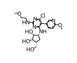 COCCNc1nc(Cl)c(-c2ccc(OC)nc2)c(N[C@@H]2C[C@H](CO)[C@@H](O)[C@H]2O)n1